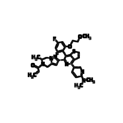 C=CC(=O)N1Cc2cc(-c3nc(-c4ccc(N(C)C)nc4)c4ccsc4c3-c3c(F)cc(F)cc3OCCOC)nn2CC1C